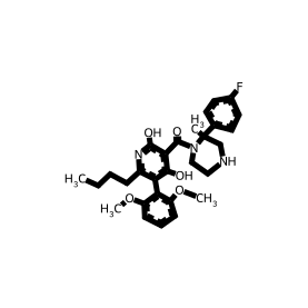 CCCCc1nc(O)c(C(=O)N2CCNCC2(C)c2ccc(F)cc2)c(O)c1-c1c(OC)cccc1OC